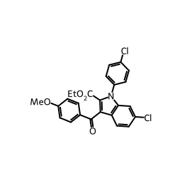 CCOC(=O)c1c(C(=O)c2ccc(OC)cc2)c2ccc(Cl)cc2n1-c1ccc(Cl)cc1